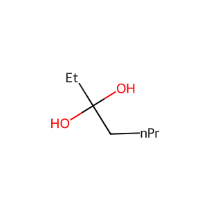 [CH2]CCCC(O)(O)CC